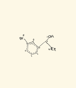 CCC(O)c1cccc(Br)c1